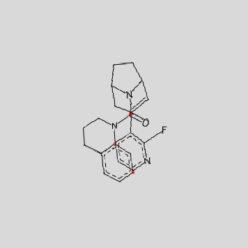 O=C(N1CCCc2ccccc21)N1C2C=C(c3cccnc3F)CC1CC2